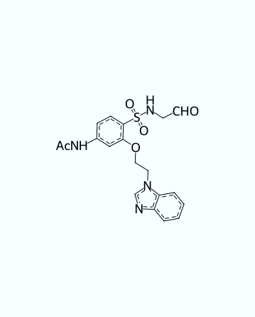 CC(=O)Nc1ccc(S(=O)(=O)NCC=O)c(OCCn2cnc3ccccc32)c1